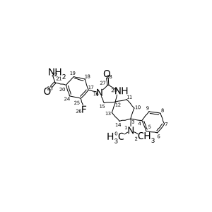 CN(C)C1(c2ccccc2)CCC2(CC1)CN(c1ccc(C(N)=O)cc1F)C(=O)N2